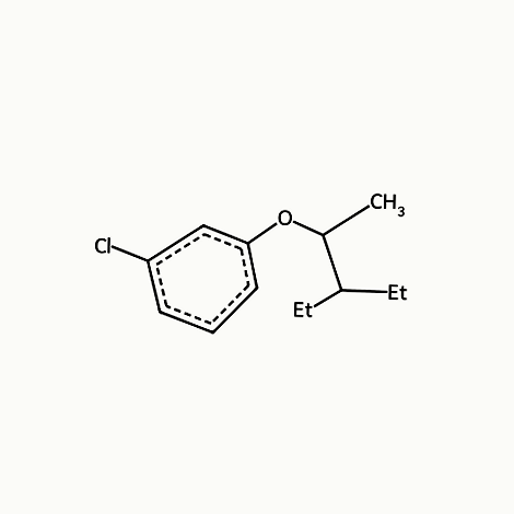 CCC(CC)C(C)Oc1cccc(Cl)c1